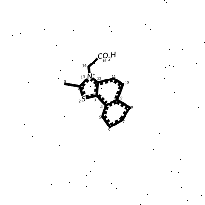 Cc1sc2c3ccccc3ccc2[n+]1CC(=O)O